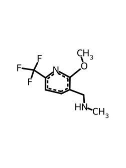 CNCc1ccc(C(F)(F)F)nc1OC